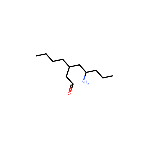 CCCCC(CC=O)CC(N)CCC